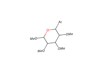 COC1OC(C(C)=O)C(OC)C(OC)C1OC